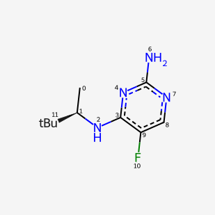 C[C@@H](Nc1nc(N)ncc1F)C(C)(C)C